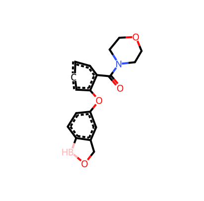 O=C(c1ccccc1Oc1ccc2c(c1)COB2)N1CCOCC1